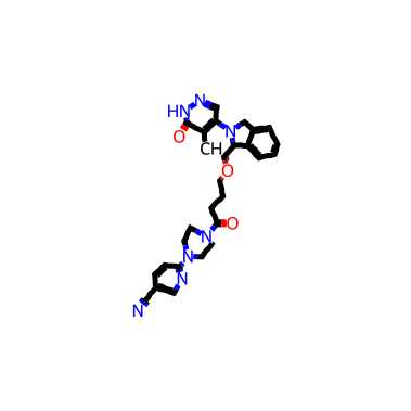 Cc1c(N2Cc3ccccc3C2COCCCC(=O)N2CCN(c3ccc(C#N)cn3)CC2)cn[nH]c1=O